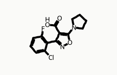 O=C(O)c1c(-c2c(F)cccc2Cl)noc1N1CCCC1